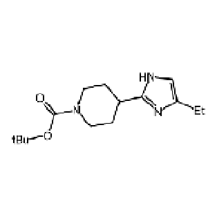 CCc1c[nH]c(C2CCN(C(=O)OC(C)(C)C)CC2)n1